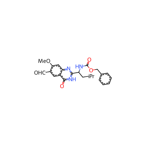 COc1cc2nc(C(CC(C)C)NC(=O)OCc3ccccc3)[nH]c(=O)c2cc1C=O